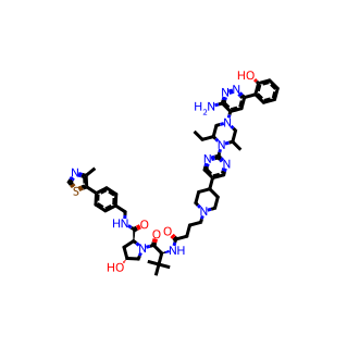 CCC1CN(c2cc(-c3ccccc3O)nnc2N)CC(C)N1c1ncc(C2CCN(CCCC(=O)N[C@H](C(=O)N3C[C@H](O)C[C@H]3C(=O)NCc3ccc(-c4scnc4C)cc3)C(C)(C)C)CC2)cn1